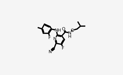 Cc1ccc(Nc2nc(C#N)c(F)cc2C(=O)NOCC(C)C)c(F)c1